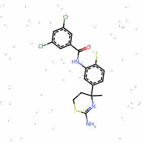 CC1(c2ccc(F)c(NC(=O)c3cc(Cl)cc(Cl)c3)c2)CCSC(N)=N1